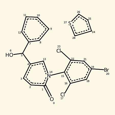 O=c1ccc(C(O)c2ccccc2)cn1-c1c(Cl)cc(Br)cc1Cl.c1ccsc1